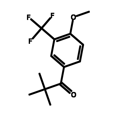 COc1ccc(C(=O)C(C)(C)C)cc1C(F)(F)F